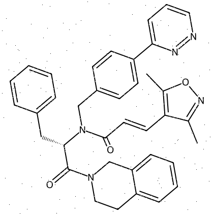 Cc1noc(C)c1/C=C/C(=O)N(Cc1ccc(-c2cccnn2)cc1)[C@@H](Cc1ccccc1)C(=O)N1CCc2ccccc2C1